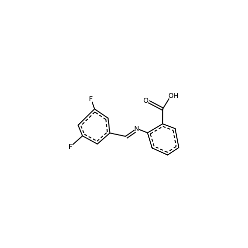 O=C(O)c1ccccc1/N=C/c1cc(F)cc(F)c1